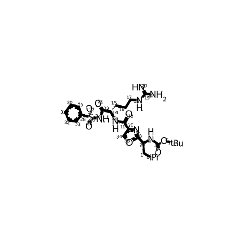 CC(C)CC(NC(=O)OC(C)(C)C)c1nc(C(=O)N[C@@H](CCCNC(=N)N)C(=O)NS(=O)(=O)c2ccccc2)co1